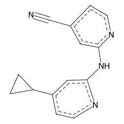 N#Cc1ccnc(Nc2cc(C3CC3)ccn2)c1